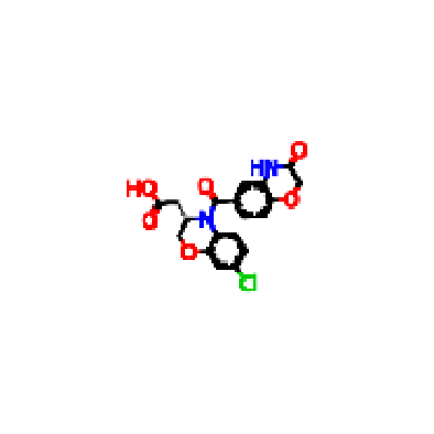 O=C(O)C[C@H]1COc2cc(Cl)ccc2N1C(=O)c1ccc2c(c1)NC(=O)CO2